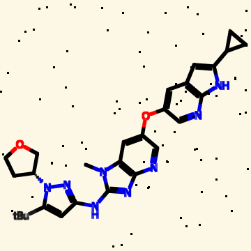 Cn1c(Nc2cc(C(C)(C)C)n([C@@H]3CCOC3)n2)nc2ncc(Oc3cnc4[nH]c(C5CC5)cc4c3)cc21